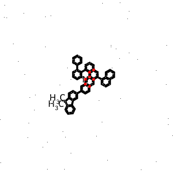 CC1(C)c2ccccc2-c2cc(-c3cccc(N(c4cccc(-c5cccc6ccccc56)c4)c4cccc(-c5ccccc5)c4-c4ccccc4-c4ccccc4)c3)ccc21